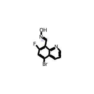 O/N=C/c1c(F)cc(Br)c2cccnc12